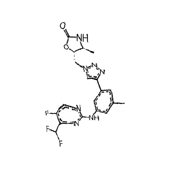 Cc1cc(Nc2ncc(F)c(C(F)F)n2)cc(-c2cn(C[C@@H]3OC(=O)N[C@H]3C)nn2)c1